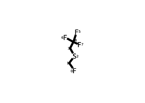 FCSCC(F)(F)F